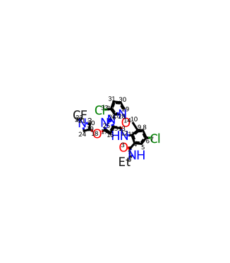 CCNC(=O)c1cc(Cl)cc(C)c1NC(=O)c1cc(OC2CN(CC(F)(F)F)C2)nn1-c1ncccc1Cl